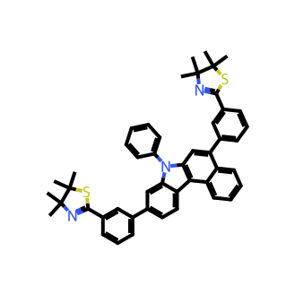 CC1(C)N=C(c2cccc(-c3ccc4c5c6ccccc6c(-c6cccc(C7=NC(C)(C)C(C)(C)S7)c6)cc5n(-c5ccccc5)c4c3)c2)SC1(C)C